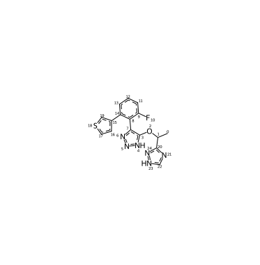 CC(Oc1[nH]nnc1-c1c(F)cccc1-c1ccsc1)c1nc[nH]n1